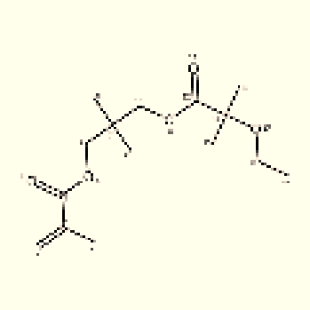 C=C(C)C(=O)OCC(C)(C)COC(=O)C(C)(C)OCC